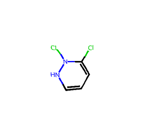 ClC1=CC=CNN1Cl